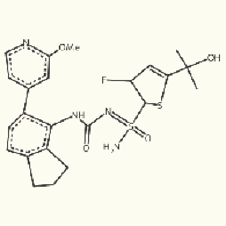 COc1cc(-c2ccc3c(c2NC(=O)N=S(N)(=O)C2SC(C(C)(C)O)=CC2F)CCC3)ccn1